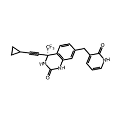 O=C1Nc2cc(Cc3ccc[nH]c3=O)ccc2[C@@](C#CC2CC2)(C(F)(F)F)N1